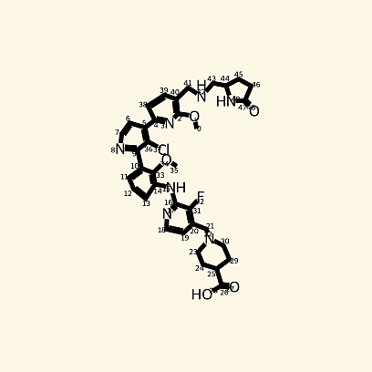 COc1nc(-c2ccnc(-c3cccc(Nc4nccc(CN5CCC(C(=O)O)CC5)c4F)c3OC)c2Cl)ccc1CNCC1CCC(=O)N1